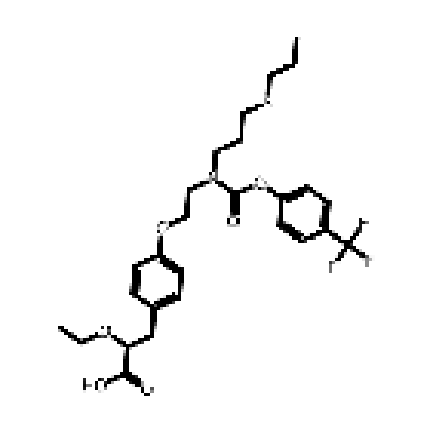 CCCSCCCN(CCOc1ccc(CC(OCC)C(=O)O)cc1)C(=O)Oc1ccc(C(F)(F)F)cc1